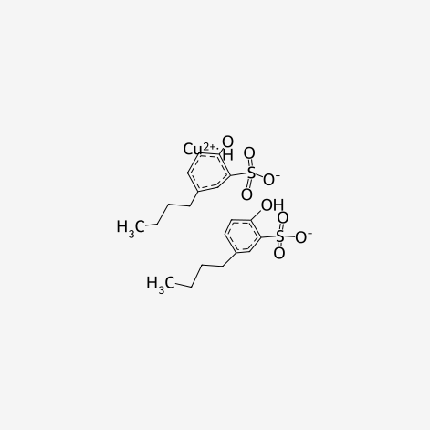 CCCCc1ccc(O)c(S(=O)(=O)[O-])c1.CCCCc1ccc(O)c(S(=O)(=O)[O-])c1.[Cu+2]